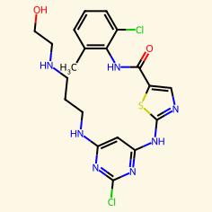 Cc1cccc(Cl)c1NC(=O)c1cnc(Nc2cc(NCCCNCCO)nc(Cl)n2)s1